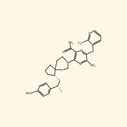 COc1ccc([C@@H](C)C[C@@H]2CCCC23CCN(c2nc(N)c(Sc4cccnc4C(F)(F)F)nc2C(N)=O)CC3)cc1